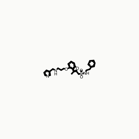 Cc1c(CS(=O)(=O)NCCc2ccccc2)oc2cccc(OCCCNCc3cccnc3)c12